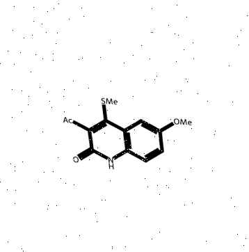 COc1ccc2[nH]c(=O)c(C(C)=O)c(SC)c2c1